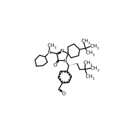 CN(C1=NC2(CCC(C(C)(C)C)CC2)N([C@H](CCC(C)(C)C)c2ccc(C=O)cc2)C1=O)C1CCCCC1